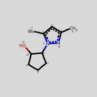 Cc1cc(C(C)(C)C)n(C2CCCC2O)n1